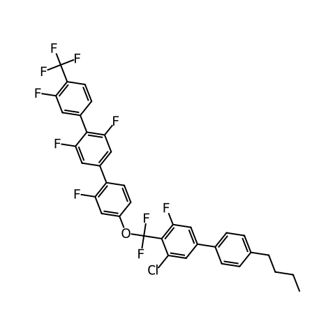 CCCCc1ccc(-c2cc(F)c(C(F)(F)Oc3ccc(-c4cc(F)c(-c5ccc(C(F)(F)F)c(F)c5)c(F)c4)c(F)c3)c(Cl)c2)cc1